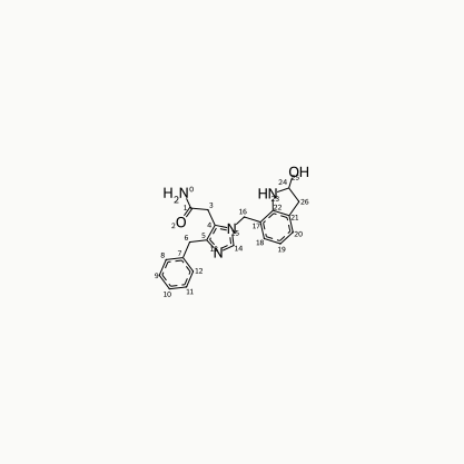 NC(=O)Cc1c(Cc2ccccc2)ncn1Cc1cccc2c1NC(O)C2